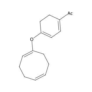 CC(=O)C1=CC=C(O/C2=C/CC/C=C\CC2)CC1